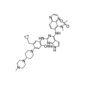 COc1cc(N2CCC(N3CCN(C)CC3)CC2)c(CC2CC2)cc1Nc1nc(Nc2ccc3nccnc3c2N(C)S(C)(=O)=O)c2cc[nH]c2n1